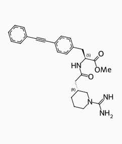 COC(=O)[C@H](Cc1ccc(C#Cc2ccccc2)cc1)NC(=O)C[C@H]1CCCN(C(=N)N)C1